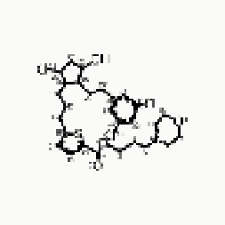 O=C(OCCCN1CCOCC1)c1ccc(CCCC2C(Cl)CC(O)C2CCc2cc(Cl)cc(Cl)c2)s1